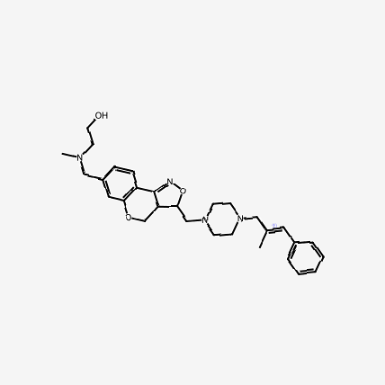 C/C(=C\c1ccccc1)CN1CCN(CC2ON=C3c4ccc(CN(C)CCO)cc4OCC32)CC1